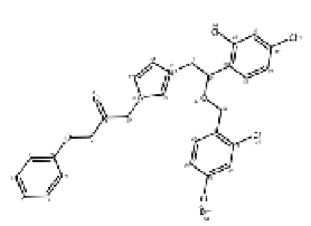 O=C(COc1ccccc1)Cn1cc[n+](CC(OCc2ccc(Cl)cc2Cl)c2ccc(Cl)cc2Cl)c1.[Br-]